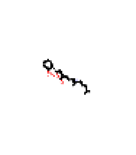 CC(C)=CCC/C(C)=C/CCC1=C[C@H](c2ccccc2O)OC1=O